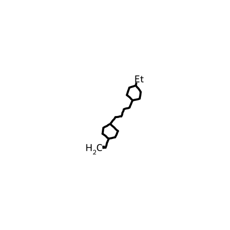 C=CC1CCC(CCCCC2CCC(CC)CC2)CC1